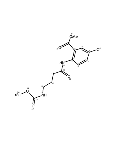 COC(=O)c1cc(Cl)ccc1NC(=O)CCCNC(=O)OC(C)(C)C